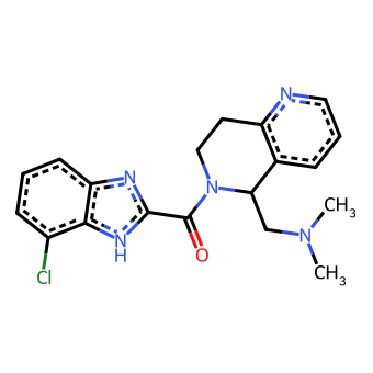 CN(C)CC1c2cccnc2CCN1C(=O)c1nc2cccc(Cl)c2[nH]1